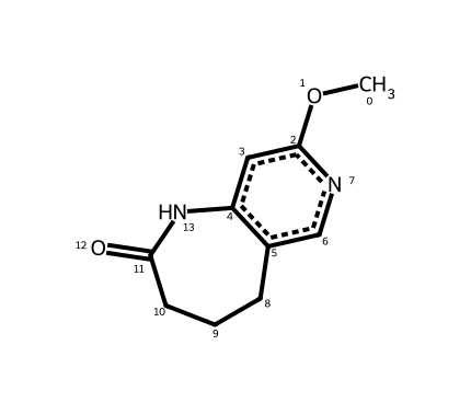 COc1cc2c(cn1)CCCC(=O)N2